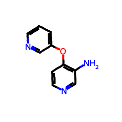 Nc1cnccc1Oc1cccnc1